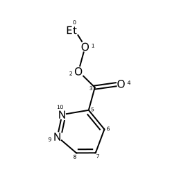 CCOOC(=O)c1cccnn1